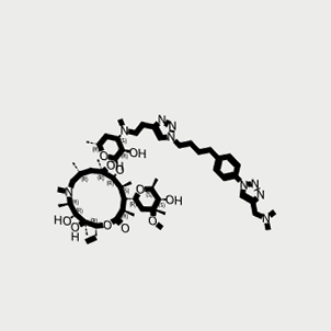 CC[C@H]1OC(=O)[C@H](C)C([C@H]2C[C@@](C)(OC)[C@@H](O)[C@H](C)O2)[C@H](C)[C@@H](O[C@@H]2O[C@H](C)C[C@H](N(C)CCc3cn(CCCCc4ccc(-n5cc(CN(C)C)nn5)cc4)nn3)[C@H]2O)[C@](C)(O)C[C@@H](C)CN(C)[C@H](C)[C@@H](O)[C@]1(C)O